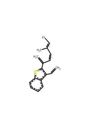 C=Cc1c(C(=C)/C=C\C(C)=C\CC)sc2ccccc12